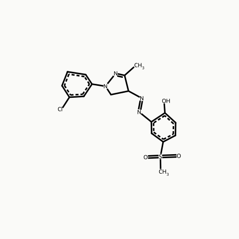 CC1=NN(c2cccc(Cl)c2)CC1N=Nc1cc(S(C)(=O)=O)ccc1O